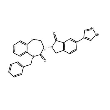 O=C1[C@@H](N2Cc3ccc(-c4cn[nH]c4)cc3C2=O)CCc2ccccc2N1Cc1ccccc1